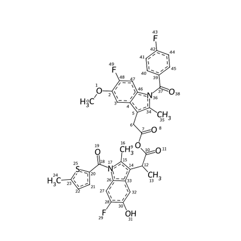 COc1cc2c(CC(=O)OC(=O)C(C)c3c(C)n(C(=O)c4ccc(C)s4)c4cc(F)c(O)cc34)c(C)n(C(=O)c3ccc(F)cc3)c2cc1F